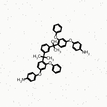 CC(C)(c1cccc(C(C)(C)c2ccc(Oc3ccc(N)cc3)cc2Oc2ccccc2)c1)c1ccc(Oc2ccc(N)cc2)cc1Oc1ccccc1